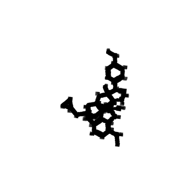 COc1ccc([C@@H](O)C2(C)CC34CC[C@]2(OC)[C@H]2Oc5c(OC)ccc6c5[C@@]23CCN(CC2CC2)C4C6)cc1